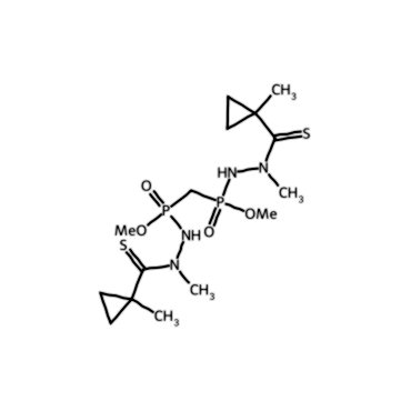 COP(=O)(CP(=O)(NN(C)C(=S)C1(C)CC1)OC)NN(C)C(=S)C1(C)CC1